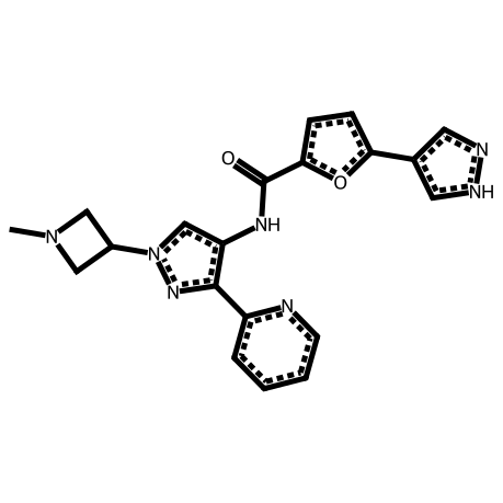 CN1CC(n2cc(NC(=O)c3ccc(-c4cn[nH]c4)o3)c(-c3ccccn3)n2)C1